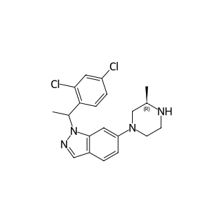 CC(c1ccc(Cl)cc1Cl)n1ncc2ccc(N3CCN[C@H](C)C3)cc21